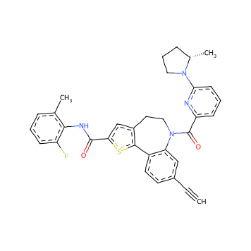 C#Cc1ccc2c(c1)N(C(=O)c1cccc(N3CCC[C@@H]3C)n1)CCc1cc(C(=O)Nc3c(C)cccc3F)sc1-2